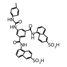 Cc1ccc(NC(=O)Nc2cc(C(=O)Nc3cccc4cc(S(=O)(=O)O)ccc34)cc(C(=O)Nc3cccc4cc(S(=O)(=O)O)ccc34)c2)cc1